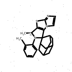 Cc1ccccc1N1[C@@H](C)c2sc3nccn3c2C12C1CC3CC(C1)CC2C3